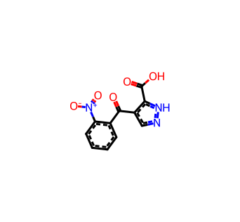 O=C(c1ccccc1[N+](=O)[O-])c1cn[nH]c1C(=O)O